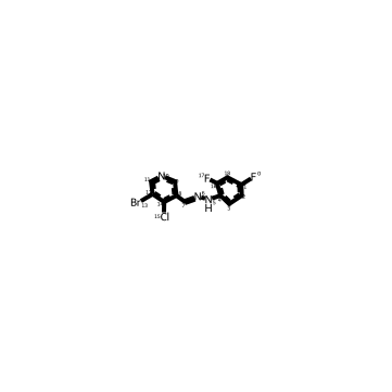 Fc1ccc(NN=Cc2cncc(Br)c2Cl)c(F)c1